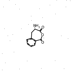 N[C@H]1Cc2ccccc2C(=O)OC1=O